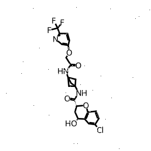 O=C(COc1ccc(C(F)(F)F)nc1)NC12CC(NC(=O)[C@H]3C[C@@H](O)c4cc(Cl)ccc4O3)(C1)C2